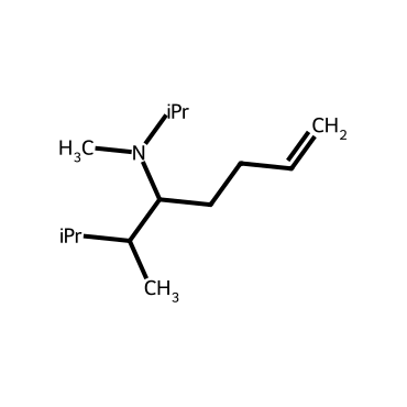 C=CCCC(C(C)C(C)C)N(C)C(C)C